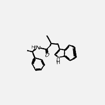 CC(Cc1c[nH]c2ccccc12)C(=O)NC(C)c1ccccc1